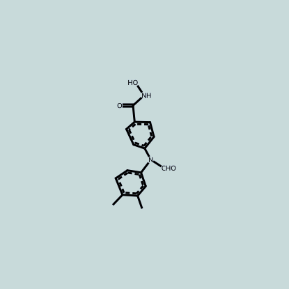 Cc1ccc(N(C=O)c2ccc(C(=O)NO)cc2)cc1C